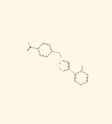 O=C(O)c1ccc(Cn2cc(-c3ccccc3Cl)nn2)cc1